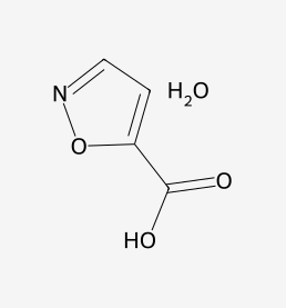 O.O=C(O)c1ccno1